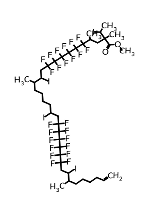 C=CCCCCC(C)C(I)CC(F)(F)C(F)(F)C(F)(F)C(F)(F)C(F)(F)C(F)(F)CC(I)CCCCC(C)C(I)CC(F)(F)C(F)(F)C(F)(F)C(F)(F)C(F)(F)C(F)(F)C(C)CC(C)(C(=O)OC)C(C)I